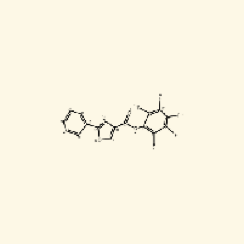 O=C(Oc1c(F)c(F)c(F)c(F)c1F)c1coc(-c2ccccc2)n1